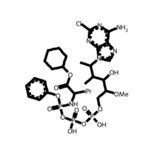 COC(COP(=O)(O)OP(=O)(O)OP(=O)(NC(C(=O)OC1CCCCC1)C(C)C)Oc1ccccc1)C(O)C(C)C(C)n1cnc2c(N)nc(Cl)nc21